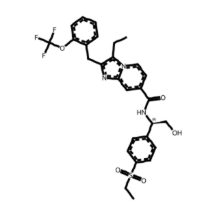 CCc1c(Cc2ccccc2OC(F)(F)F)nc2cc(C(=O)N[C@@H](CO)c3ccc(S(=O)(=O)CC)cc3)ccn12